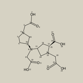 O=C(O)CN1CC[C@H](N(CC(=O)O)C2C[C@@H](C(=O)O)N(CC(=O)O)C2)C1